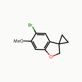 COc1cc2c(cc1Br)C1(CC1)CO2